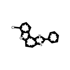 Clc1cccc2c1oc1ccc3sc(-c4ccccc4)nc3c12